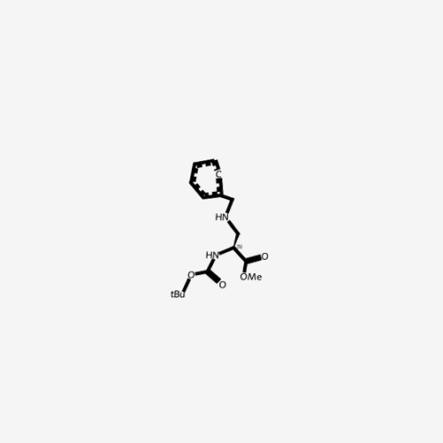 COC(=O)[C@H](CNCc1ccccc1)NC(=O)OC(C)(C)C